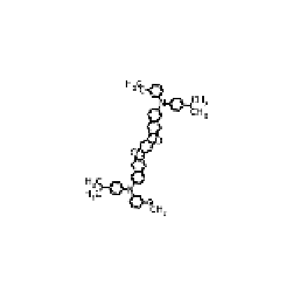 COc1cccc(N(c2ccc(C(C)C)cc2)c2ccc3cc4c(cc3c2)oc2cc3c(cc24)oc2cc4cc(N(c5ccc(C(C)C)cc5)c5cccc(OC)c5)ccc4cc23)c1